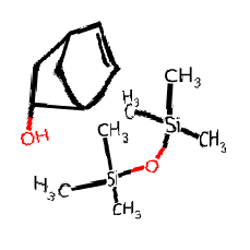 C[Si](C)(C)O[Si](C)(C)C.OC1CC2C=CC1C2